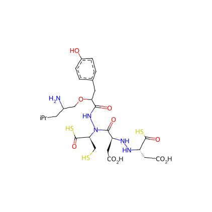 CC(C)CC(N)COC(Cc1ccc(O)cc1)C(=O)NN(C(=O)[C@H](CC(=O)O)NN[C@@H](CC(=O)O)C(=O)S)[C@@H](CS)C(=O)S